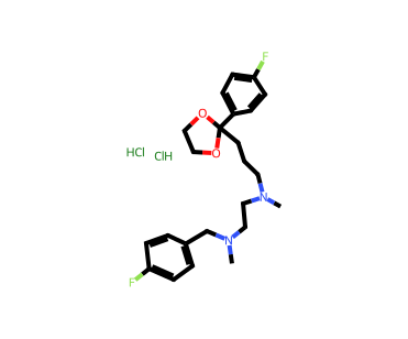 CN(CCCC1(c2ccc(F)cc2)OCCO1)CCN(C)Cc1ccc(F)cc1.Cl.Cl